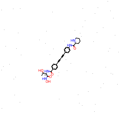 C[C@@H](O)[C@H](NC(=O)c1ccc(C#CC#Cc2ccc(NC(=O)C3CCCCN3)cc2)cc1)C(=O)NO